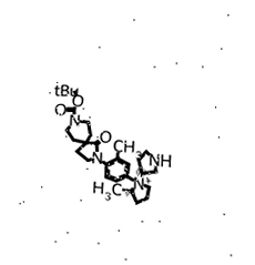 Cc1cc([N+]2([C@@H]3CCNC3)CCC[C@H]2C)ccc1N1CCC2(CCN(C(=O)OC(C)(C)C)CC2)C1=O